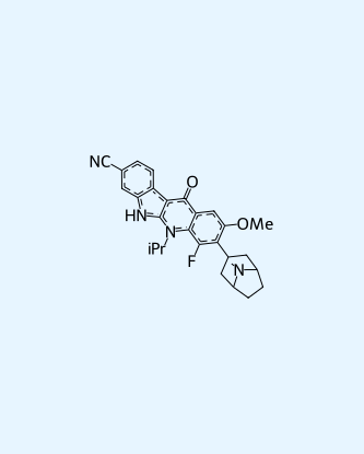 COc1cc2c(=O)c3c4ccc(C#N)cc4[nH]c3n(C(C)C)c2c(F)c1C1CC2CCC(C1)N2C